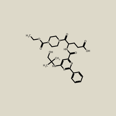 CCOC(=O)N1CCN(C(=O)C(CCC(=O)O)NC(=O)c2cc(NC(C)(C)CO)nc(-c3ccccc3)n2)CC1